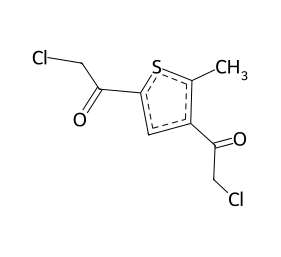 Cc1sc(C(=O)CCl)cc1C(=O)CCl